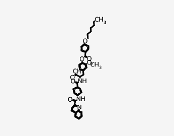 CCCCCCCOc1ccc(C(=O)Oc2ccc(CC(NC(=O)c3ccc(NC(=O)c4ccc5ccccc5n4)cc3)C(C)=O)cc2OC)cc1